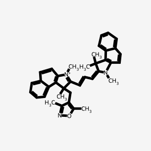 Cc1noc(C)c1CC1(C)C(/C=C/C=C2/N(C)c3ccc4ccccc4c3C2(C)C)=[N+](C)c2ccc3ccccc3c21